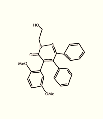 COc1ccc(OC)c(-c2c(-c3ccccc3)c(-c3ccccc3)nn(CCO)c2=O)c1